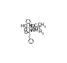 CC(C)(C)OC(=O)NN(C(=O)CCc1ccccc1)[C@@H](Sc1ccccc1)C(=O)O